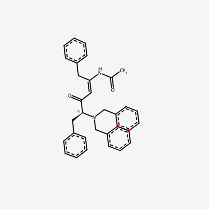 O=C(C=C(Cc1ccccc1)NC(=O)C(F)(F)F)[C@H](Cc1ccccc1)N(Cc1ccccc1)Cc1ccccc1